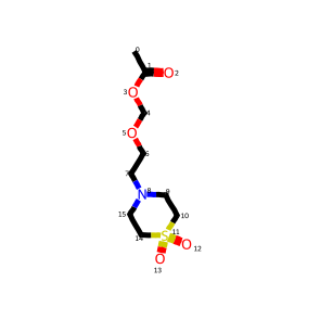 CC(=O)OCOCCN1CCS(=O)(=O)CC1